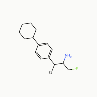 CCC(c1ccc(C2CCCCC2)cc1)C(N)CF